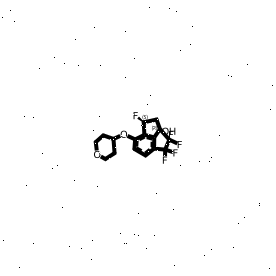 O[C@]12C[C@H](F)c3c(OC4CCOCC4)ccc(c31)C(F)(F)C2(F)F